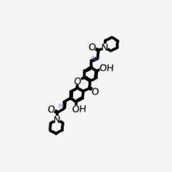 O=C1c2cc(O)c(/C=C/C(=O)N3CCCCC3)cc2OC2C=C(/C=C/C(=O)N3CCCCC3)C(O)=CC12